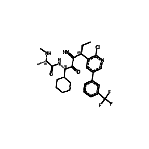 CC[C@H](C(=N)C(=O)[C@@H](NC(=O)[C@H](C)NC)C1CCCCC1)c1cc(-c2cccc(C(F)(F)F)c2)cnc1Cl